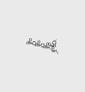 CC(=O)Nc1ccc(C(=O)Nc2ccc(C(=O)NC(CC(N)=O)C(=O)Nc3ccc(C)cc3)cc2)cc1